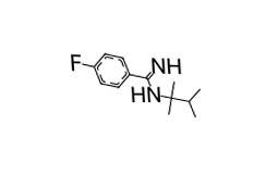 CC(C)C(C)(C)NC(=N)c1ccc(F)cc1